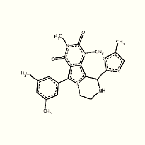 Cc1cc(C)cc(-c2c3c(=O)n(C)c(=O)n(C)c3c3n2CCNC3c2nc(C)cs2)c1